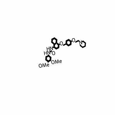 COc1ccc(NC(=O)Nc2ccc(OCc3ccc(OCCN4CCCCC4)cc3)c3ccccc23)cc1OC